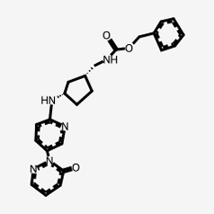 O=C(NC[C@@H]1CC[C@H](Nc2ccc(-n3ncccc3=O)cn2)C1)OCc1ccccc1